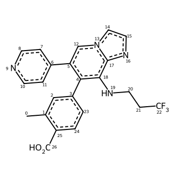 Cc1cc(-c2c(-c3ccncc3)cn3ccnc3c2NCCC(F)(F)F)ccc1C(=O)O